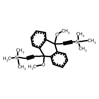 COC1(C#C[Si](C)(C)C)c2ccccc2C(C#C[Si](C)(C)C)(OC)c2ccccc21